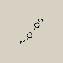 N#Cc1ccc(CC[C@H]2CC[C@H](C/C=C/F)CC2)cc1